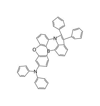 c1ccc(-c2c(-c3ccccc3)n3c4c(cccc24)B2c4ccc(N(c5ccccc5)c5ccccc5)cc4Oc4cccc-3c42)cc1